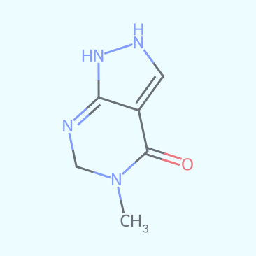 CN1CN=C2NNC=C2C1=O